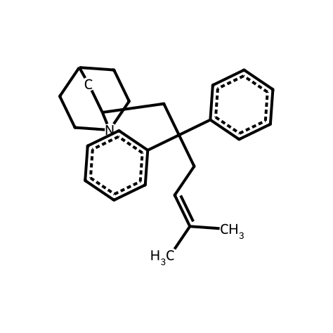 CC(C)=CCC(CC1CC2CCN1CC2)(c1ccccc1)c1ccccc1